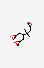 CC(C)(CC1CO1)[C](CC1CO1)CC1CO1